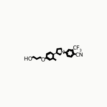 CC1C=C(OCCCO)C=CC1[C@H]1CCN(c2ccc(C#N)c(C(F)(F)F)c2)C1